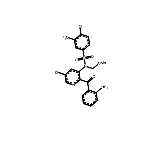 COCN(c1cc(Cl)cnc1C(=O)c1ccccc1N)S(=O)(=O)c1ccc(Cl)c(C(F)(F)F)c1